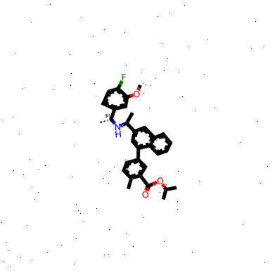 COc1cc([C@@H](C)NC(C)c2cc(-c3ccc(C)c(C(=O)OC(C)C)c3)c3ccccc3c2)ccc1F